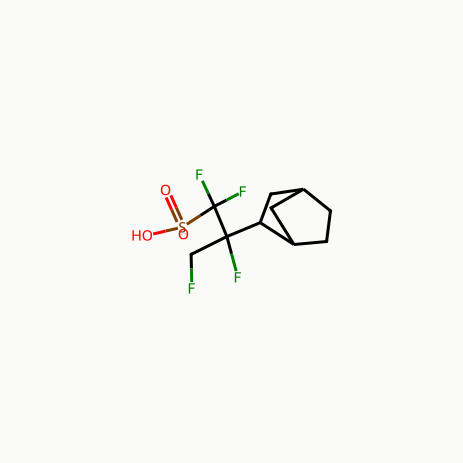 O=S(=O)(O)C(F)(F)C(F)(CF)C1CC2CCC1C2